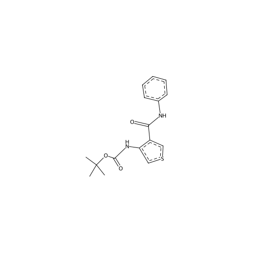 CC(C)(C)OC(=O)Nc1cscc1C(=O)Nc1ccccc1